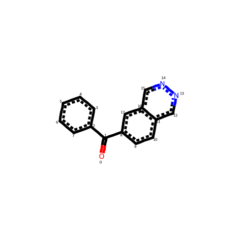 O=C(c1ccccc1)c1ccc2cnncc2c1